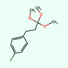 CO[Si](CCc1ccc(F)cc1)(OC)OC